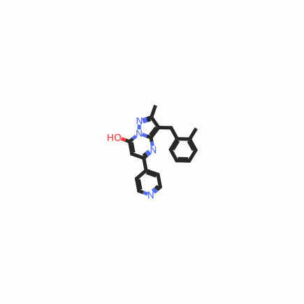 Cc1ccccc1Cc1c(C)nn2c(O)cc(-c3ccncc3)nc12